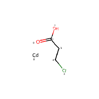 O=C(O)CCCl.[Cd]